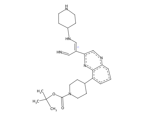 CC(C)(C)OC(=O)N1CCC(c2cccc3ncc(/C(C=N)=C/NC4CCNCC4)nc23)CC1